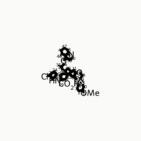 COC1CCCN(C[C@@H]2COc3cc4c(cc3O2)C2(CCC(Nc3cccc(Cl)c3)(C(=O)O)CC2)[C@@H](C[C@@H](C)COc2ccnc3c2[C@H](C)CCC3)C4)C1